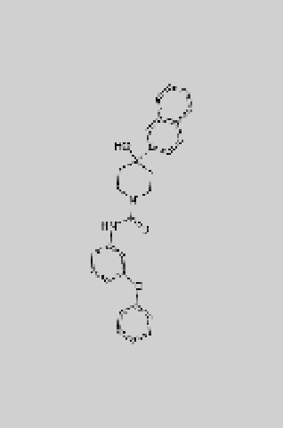 O=C(Nc1cccc(Oc2ccccc2)c1)N1CCC(O)(c2ccc3ccccc3c2)CC1